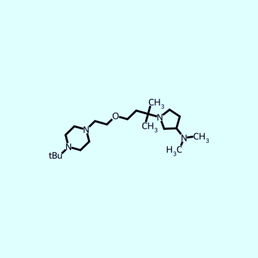 CN(C)C1CCN(C(C)(C)CCOCCN2CCN(C(C)(C)C)CC2)C1